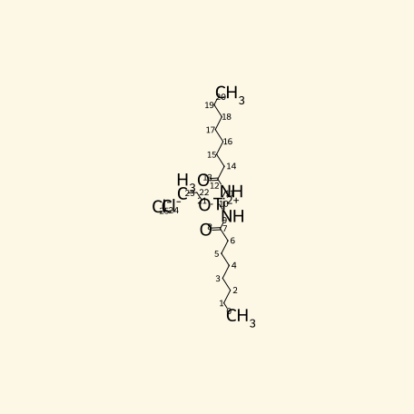 CCCCCCCC(=O)[NH][Ti+2]([NH]C(=O)CCCCCCC)[O]CC.[Cl-].[Cl-]